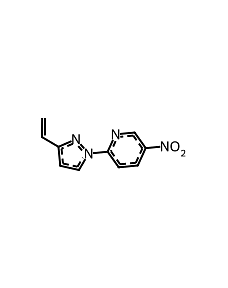 C=Cc1ccn(-c2ccc([N+](=O)[O-])cn2)n1